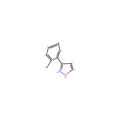 [CH2]c1ccccc1-c1ccon1